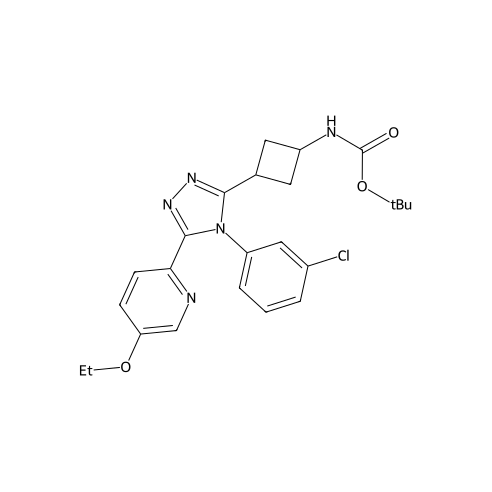 CCOc1ccc(-c2nnc(C3CC(NC(=O)OC(C)(C)C)C3)n2-c2cccc(Cl)c2)nc1